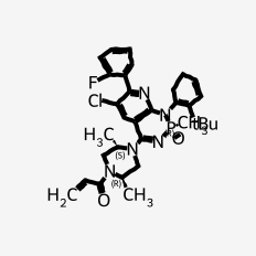 C=CC(=O)N1C[C@H](C)N(C2=N[P@](C)(=O)N(C3=C(C(C)(C)C)C=CCC3)c3nc(-c4ccccc4F)c(Cl)cc32)C[C@H]1C